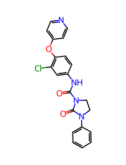 O=C(Nc1ccc(Oc2ccncc2)c(Cl)c1)N1CCN(c2ccccc2)C1=O